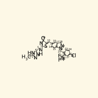 Cc1nnc(CNC2=NC(=O)/C(=C/c3ccc4c(cnn4Cc4ccc(Cl)cc4C(F)(F)F)c3)S2)[nH]1